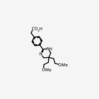 COCCC1(CCOC)CN=C(c2ccc(CC(=O)O)cc2)NC1